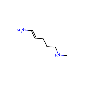 CNCCCC=CN